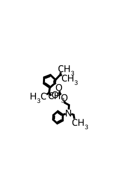 CCN(CCOC(=O)Oc1c(C(C)C)cccc1C(C)C)c1ccccc1